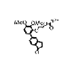 CCCC(=O)OCCOc1c(-c2ccc3c(c2)CCC3=O)ccc(OC)c1OC